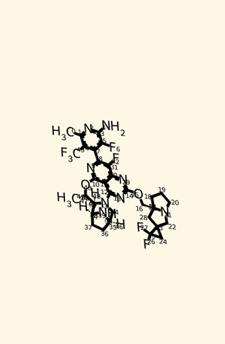 Cc1nc(N)c(F)c(-c2nc3c4c(nc(OC[C@@]56CCCN5CC5(CC5(F)F)C6)nc4c2F)N2C[C@H]4CC[C@H](N4)[C@H]2[C@H](C)O3)c1C(F)(F)F